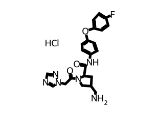 Cl.NCC1CC(C(=O)Nc2ccc(Oc3ccc(F)cc3)cc2)N(C(=O)Cn2cncn2)C1